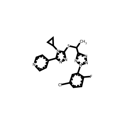 CC(Sc1nnc(-c2ccncc2)n1C1CC1)c1nnn(-c2cc(Cl)ccc2F)n1